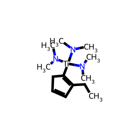 CCC1=[C]([Ti]([N](C)C)([N](C)C)[N](C)C)CC=C1